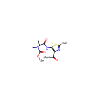 CNC(=O)c1nc(SC)sc1NC(=O)C(C)N(C)C(=O)OC(C)(C)C